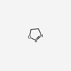 B1=NCCO1